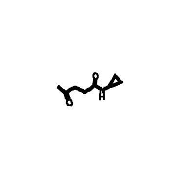 CC(=O)CCC(=O)NC1CC1